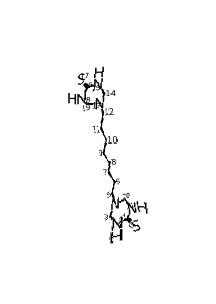 S=C1NCN(CCCCCCCCN2CNC(=S)NC2)CN1